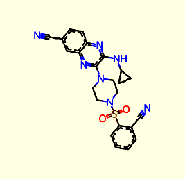 N#Cc1ccc2nc(NC3CC3)c(N3CCN(S(=O)(=O)c4ccccc4C#N)CC3)nc2c1